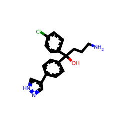 NCCCC(O)(c1ccc(Cl)cc1)c1ccc(-c2cn[nH]c2)cc1